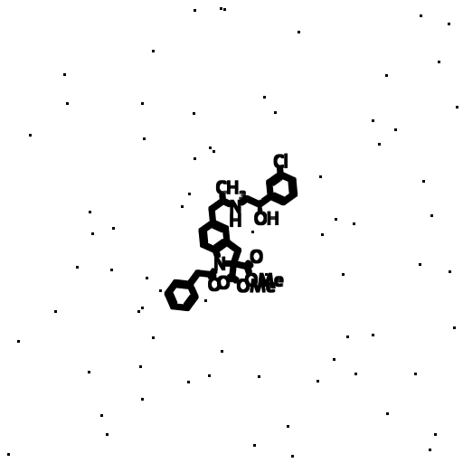 COC(=O)C1(C(=O)OC)Cc2cc(CC(C)NC[C@H](O)c3cccc(Cl)c3)ccc2N1C(=O)Cc1ccccc1